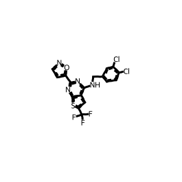 FC(F)(F)c1cc2c(NCc3ccc(Cl)c(Cl)c3)nc(-c3ccno3)nc2s1